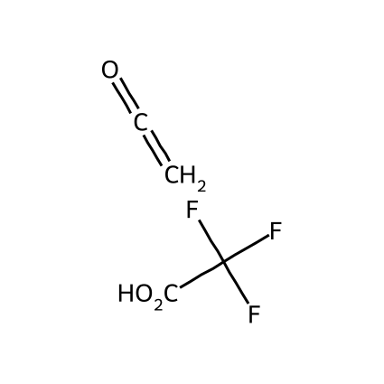 C=C=O.O=C(O)C(F)(F)F